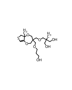 CC(CO)(CO)COCC1(COCCCO)COC2=CSCC2(C)OC1